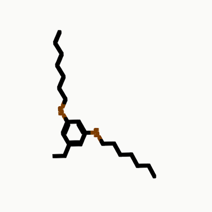 CCCCCCCSc1cc(CC)cc(SCCCCCCC)c1